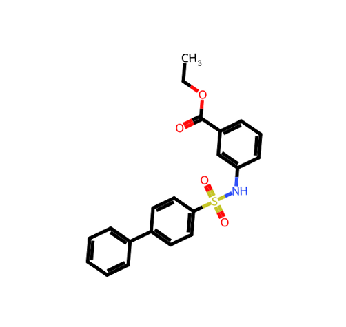 CCOC(=O)c1cccc(NS(=O)(=O)c2ccc(-c3ccccc3)cc2)c1